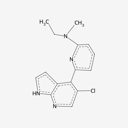 CCN(C)c1cccc(-c2c(Cl)cnc3[nH]ccc23)n1